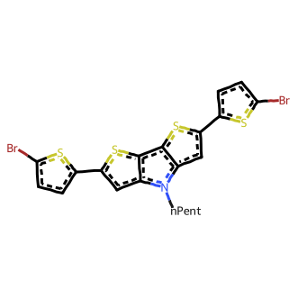 CCCCCn1c2cc(-c3ccc(Br)s3)sc2c2sc(-c3ccc(Br)s3)cc21